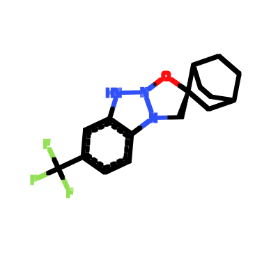 FC(F)(F)c1ccc2c(c1)NN1O[C@]3(CC4CCC3CC4)CN21